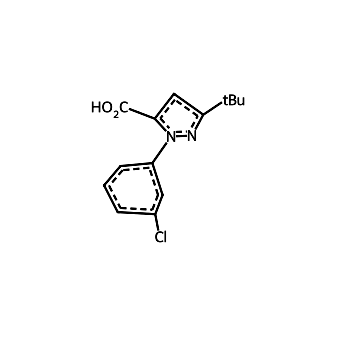 CC(C)(C)c1cc(C(=O)O)n(-c2cccc(Cl)c2)n1